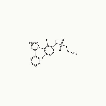 CCCS(=O)(=O)Nc1ccc(F)c(-c2n[nH]cc2-c2ccncc2)c1F